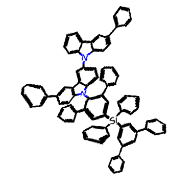 c1ccc(-c2cc(-c3ccccc3)cc([Si](c3ccccc3)(c3ccccc3)c3cc(-c4ccccc4)c(-n4c5ccc(-c6ccccc6)cc5c5cc(-n6c7ccccc7c7cc(-c8ccccc8)ccc76)ccc54)c(-c4ccccc4)c3)c2)cc1